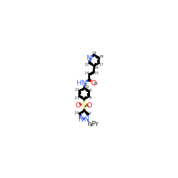 CCCn1cc(S(=O)(=O)c2ccc(NC(=O)C=Cc3cccnc3)cc2)cn1